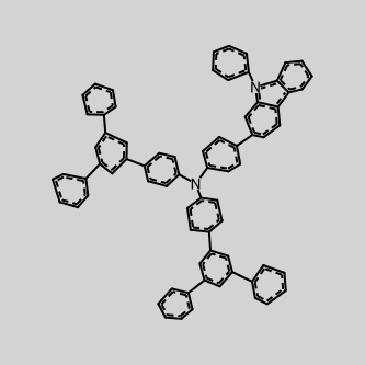 c1ccc(-c2cc(-c3ccccc3)cc(-c3ccc(N(c4ccc(-c5cc(-c6ccccc6)cc(-c6ccccc6)c5)cc4)c4ccc(-c5ccc6c7ccccc7n(-c7ccccc7)c6c5)cc4)cc3)c2)cc1